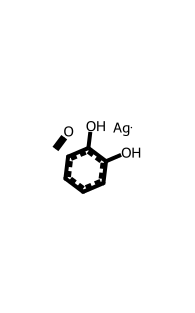 C=O.Oc1ccccc1O.[Ag]